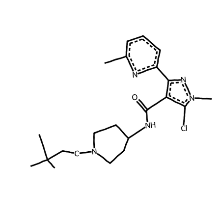 Cc1cccc(-c2nn(C)c(Cl)c2C(=O)NC2CCN(CCC(C)(C)C)CC2)n1